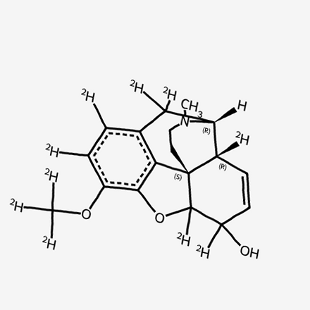 [2H]c1c([2H])c2c3c(c1OC([2H])([2H])[2H])OC1([2H])C([2H])(O)C=C[C@@]4([2H])[C@H](N(C)CC[C@]314)C2([2H])[2H]